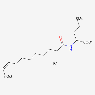 CCCCCCCC/C=C\CCCCCCCC(=O)NC(CCSC)C(=O)[O-].[K+]